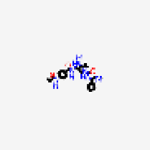 C=CC(=O)Nc1ccc(C(=O)Nc2n[nH]c3c2CN(C(=O)NC(CN(C)C)c2ccccc2)C3(C)C)cc1